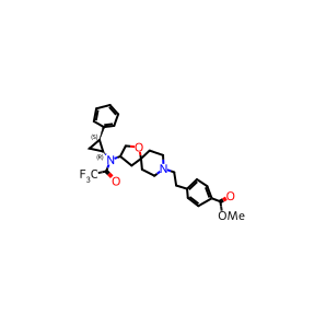 COC(=O)c1ccc(CCN2CCC3(CC2)CC(N(C(=O)C(F)(F)F)[C@@H]2C[C@H]2c2ccccc2)CO3)cc1